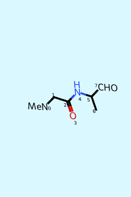 CNCC(=O)NC(C)C=O